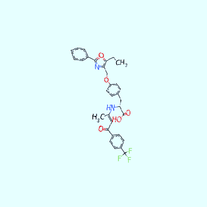 CCc1oc(-c2ccccc2)nc1COc1ccc(C[C@H](NC(C)=CC(=O)c2ccc(C(F)(F)F)cc2)C(=O)O)cc1